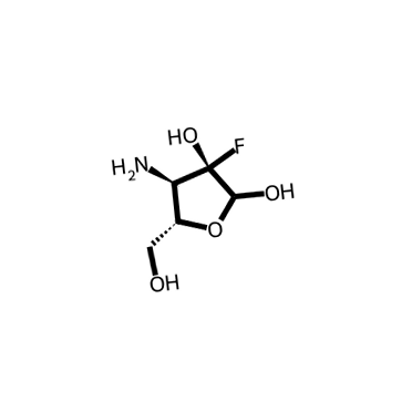 N[C@@H]1[C@@H](CO)OC(O)[C@@]1(O)F